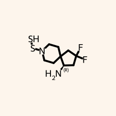 N[C@@H]1CC(F)(F)CC12CCN(SS)CC2